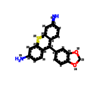 N=c1ccc2c(-c3ccc4c(c3)OCO4)c3ccc(N)cc3sc-2c1